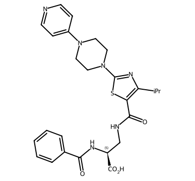 CC(C)c1nc(N2CCN(c3ccncc3)CC2)sc1C(=O)NC[C@H](NC(=O)c1ccccc1)C(=O)O